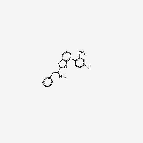 Cc1cc(Cl)ccc1-c1cccc2c1OC(C(N)Cc1ccccc1)C2